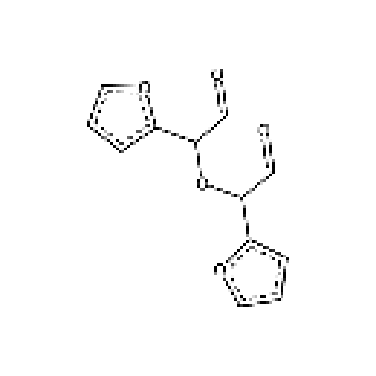 O=CC(OC(C=O)c1ccco1)c1ccco1